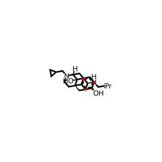 CC(C)CN[C@H]1CC[C@]23CCN(CC4CC4)[C@H](Cc4ccc(O)cc42)[C@]3(O)C1